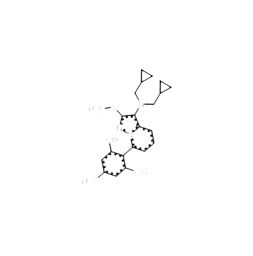 CSc1nn2c(-c3c(C)cc(C)cc3O)cccc2c1N(CC1CC1)CC1CC1